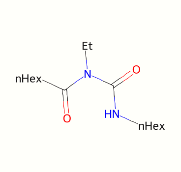 CCCCCCNC(=O)N(CC)C(=O)CCCCCC